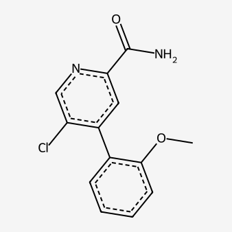 COc1ccccc1-c1cc(C(N)=O)ncc1Cl